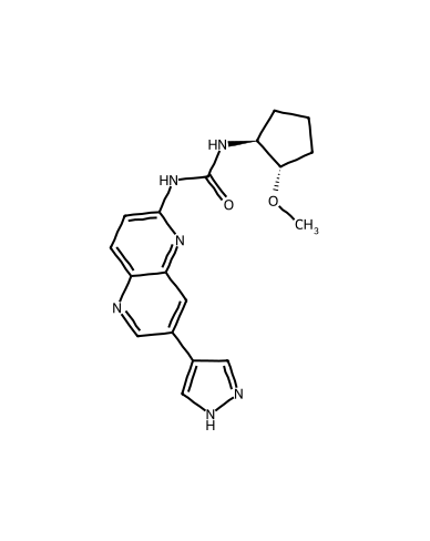 CO[C@H]1CCC[C@@H]1NC(=O)Nc1ccc2ncc(-c3cn[nH]c3)cc2n1